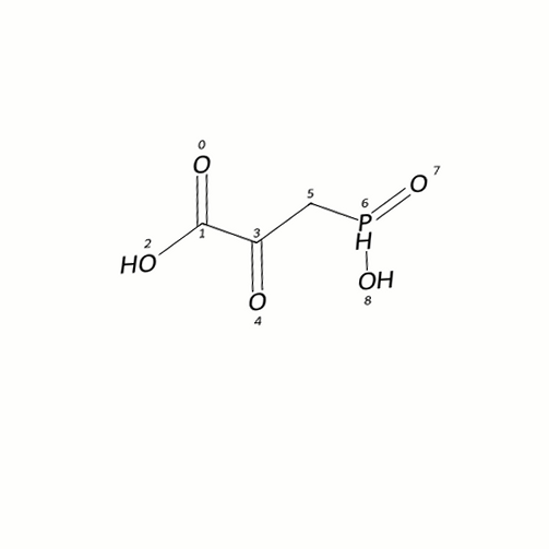 O=C(O)C(=O)C[PH](=O)O